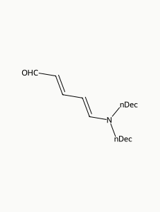 CCCCCCCCCCN(C=CC=CC=O)CCCCCCCCCC